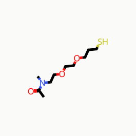 CC(=O)N(C)CCOCCOCCCS